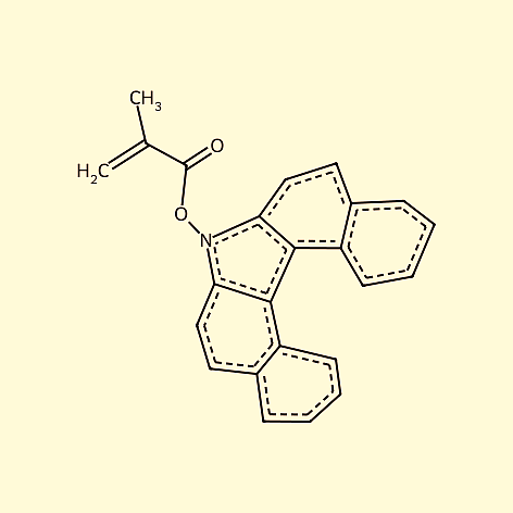 C=C(C)C(=O)On1c2ccc3ccccc3c2c2c3ccccc3ccc21